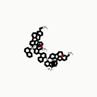 C=Cc1ccc(CC2(C3=CC=C(C)CC3C)c3ccccc3-c3ccc(N(c4cccc5ccccc45)c4ccc(-c5ccc(N(c6ccc7c(c6)C(Cc6ccc(C=C)cc6)(c6ccc(C)cc6C)c6ccccc6-7)c6cccc7ccccc67)c6ccccc56)c5ccccc45)cc32)cc1